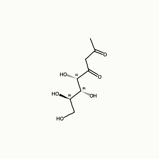 CC(=O)CC(=O)[C@@H](O)[C@H](O)[C@H](O)CO